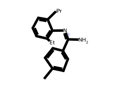 CCc1cccc(C(C)C)c1/N=C(/N)c1ccc(C)cc1